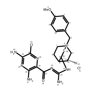 COc1ccc(C[N+]23CCC(CC2)[C@H](NC(N)=NC(=O)c2nc(Cl)c(N)nc2N)C3)cc1.[Cl-]